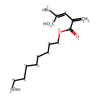 C=C(C=C(CCCC)C(=O)O)C(=O)OCCCCCCCCCCCCCCCCCC